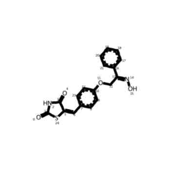 O=C1NC(=O)/C(=C\c2ccc(OC/C(=N\O)c3ccccc3)cc2)S1